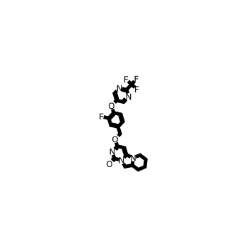 O=c1nc(OCc2ccc(Oc3cnc(C(F)(F)F)nc3)c(F)c2)cc2n1CC1CCCCN21